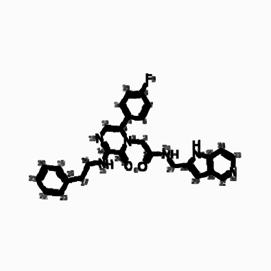 O=C(Cn1c(-c2ccc(F)cc2)cnc(NCCc2ccccc2)c1=O)NCc1cc2cnccc2[nH]1